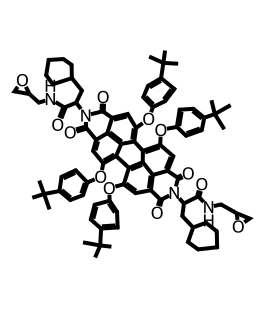 CC(C)(C)c1ccc(Oc2cc3c4c(cc(Oc5ccc(C(C)(C)C)cc5)c5c6c(Oc7ccc(C(C)(C)C)cc7)cc7c8c(cc(Oc9ccc(C(C)(C)C)cc9)c(c2c45)c86)C(=O)N(C(CC2CCCCC2)C(=O)NCC2CO2)C7=O)C(=O)N(C(CC2CCCCC2)C(=O)NCC2CO2)C3=O)cc1